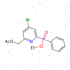 CCOP(=O)(c1ccccc1)c1cc(Br)cc(COC(C)=O)n1